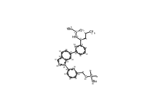 CC(C)(C)[S+]([O-])N[C@@H](CCC(F)(F)F)c1cccc(-c2ccc3cnn(-c4cccc(CO[Si](C)(C)C(C)(C)C)n4)c3c2)n1